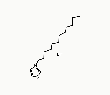 CCCCCCCCCCCC[n+]1ccsc1.[Br-]